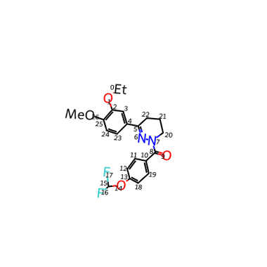 CCOc1cc(C2=NN(C(=O)c3ccc(OC(F)F)cc3)CCC2)ccc1OC